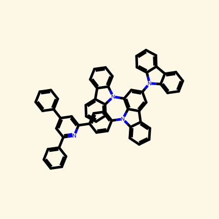 c1ccc(-c2cc(-c3ccccc3)nc(-c3ccc(-n4c5ccccc5c5cc(-n6c7ccccc7c7ccccc76)cc(-n6c7ccccc7c7ccccc76)c54)cc3)c2)cc1